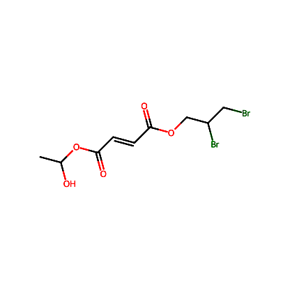 CC(O)OC(=O)C=CC(=O)OCC(Br)CBr